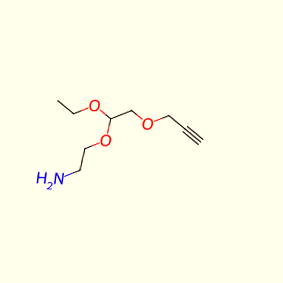 C#CCOCC(OCC)OCCN